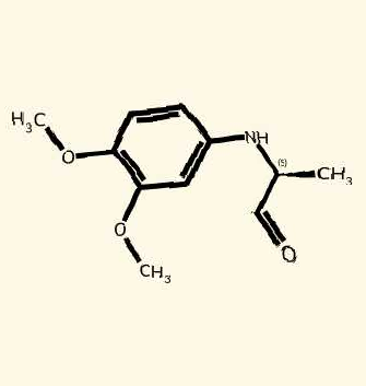 COc1ccc(N[C@@H](C)[C]=O)cc1OC